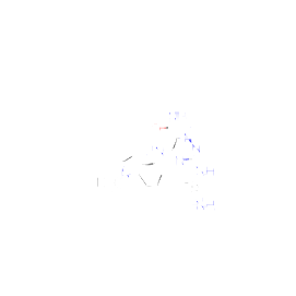 Cn1ccc2c(Nc3nc(N[C@H]4CCCNC4)nnc3C(N)=O)cccc21